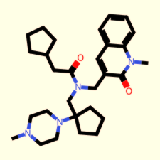 CN1CCN(C2(CN(Cc3cc4ccccc4n(C)c3=O)C(=O)CC3CCCC3)CCCC2)CC1